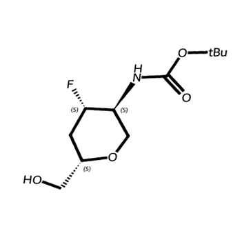 CC(C)(C)OC(=O)N[C@H]1CO[C@H](CO)C[C@@H]1F